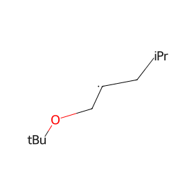 CC(C)C[CH]COC(C)(C)C